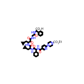 CCOC(=O)N1CCN(c2ccc(C(=O)NC(C(=O)NC(CC3CC3)C(=O)NC(CC3CC3)C(=O)C(=O)NCC(=O)NC(C(=O)O)c3ccccc3)C3CCCCC3)cn2)CC1